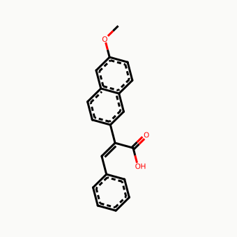 COc1ccc2cc(C(=Cc3ccccc3)C(=O)O)ccc2c1